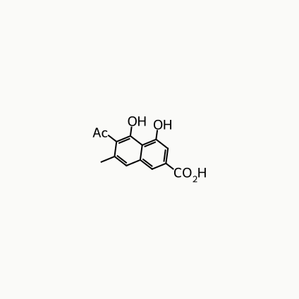 CC(=O)c1c(C)cc2cc(C(=O)O)cc(O)c2c1O